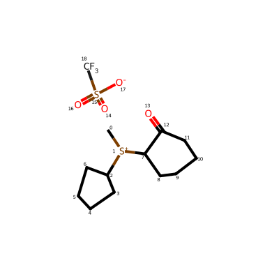 C[S+](C1CCCC1)C1CCCCC1=O.O=S(=O)([O-])C(F)(F)F